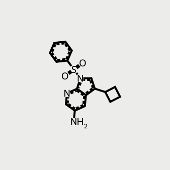 Nc1cnc2c(c1)c(C1CCC1)cn2S(=O)(=O)c1ccccc1